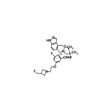 COc1cc(OCCN2CC(CF)C2)cc(F)c1[C@@H]1c2ccc3[nH]ncc3c2C[C@@H](C)N1CC(C)(F)F